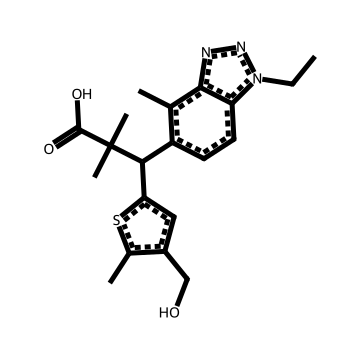 CCn1nnc2c(C)c(C(c3cc(CO)c(C)s3)C(C)(C)C(=O)O)ccc21